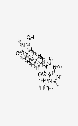 [2H]C([2H])([2H])n1c(C)nc2c1c(=O)n(C([2H])([2H])C([2H])([2H])C([2H])([2H])C([2H])([2H])C(=O)N(C)CO)c(=O)n2C